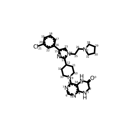 O=C1CNc2ncnc(N3CCC(c4nc(-c5cccc(Cl)c5)cn4CCN4CCCC4)CC3)c2N1